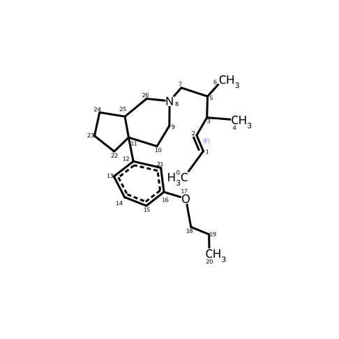 C/C=C/C(C)C(C)CN1CCC2(c3cccc(OCCC)c3)CCCC2C1